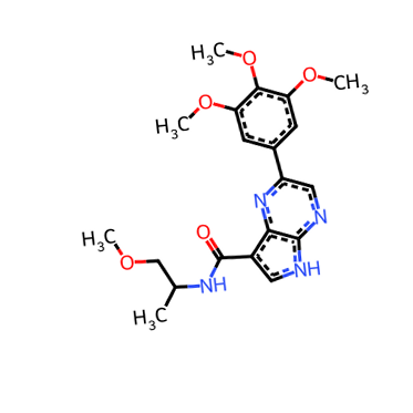 COCC(C)NC(=O)c1c[nH]c2ncc(-c3cc(OC)c(OC)c(OC)c3)nc12